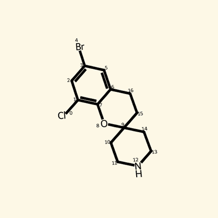 Clc1cc(Br)cc2c1OC1(CCNCC1)CC2